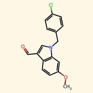 COc1ccc2c(C=O)cn(Cc3ccc(Cl)cc3)c2c1